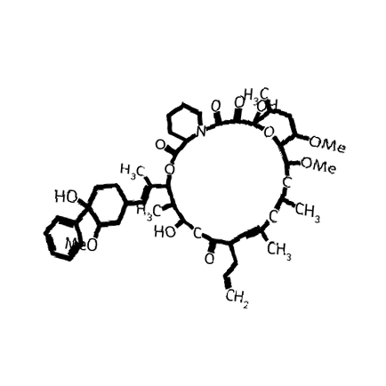 C=CCC1/C=C(\C)CC(C)CC(OC)C2OC(O)(C(=O)C(=O)N3CCCCC3C(=O)OC(C(C)=CC3CCC(O)(c4ccccc4)C(OC)C3)C(C)C(O)CC1=O)C(C)CC2OC